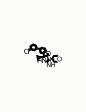 N=C1NC(c2cccc(-c3cccc(Cl)c3)c2)(C2CC2)C(=O)N1C1CCOCC1